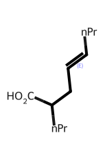 CCC/C=C/CC(CCC)C(=O)O